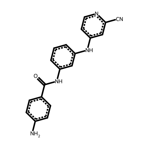 N#Cc1cc(Nc2cccc(NC(=O)c3ccc(N)cc3)c2)ccn1